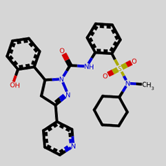 CN(C1CCCCC1)S(=O)(=O)c1ccccc1NC(=O)N1N=C(c2cccnc2)CC1c1ccccc1O